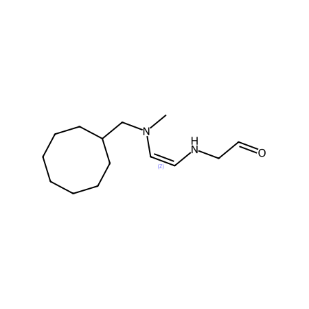 CN(/C=C\NCC=O)CC1CCCCCCC1